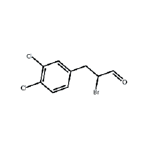 O=CC(Br)Cc1ccc(Cl)c(Cl)c1